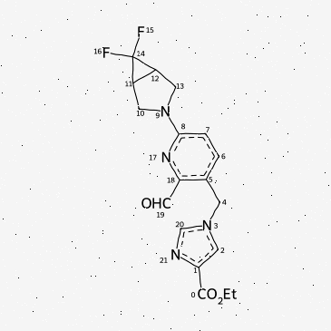 CCOC(=O)c1cn(Cc2ccc(N3CC4C(C3)C4(F)F)nc2C=O)cn1